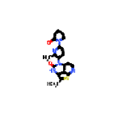 Cc1nc(-n2ccccc2=O)ccc1N1C(=O)Nc2c(C(=O)O)sc3nccc1c23